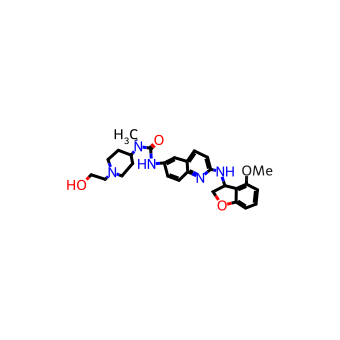 COc1cccc2c1C(Nc1ccc3cc(NC(=O)N(C)C4CCN(CCO)CC4)ccc3n1)CO2